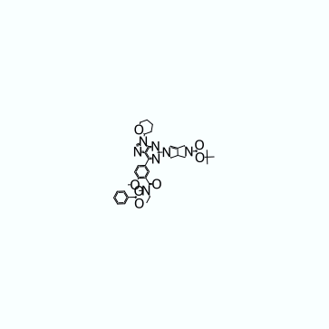 CCN(OC(=O)c1ccccc1)C(=O)c1cc(-c2nc(N3C=C4CN(C(=O)OC(C)(C)C)CC4C3)nc3c2ncn3C2CCCCO2)ccc1OC